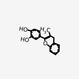 CC1=C(c2ccc(O)c(O)c2)Oc2ccccc2C1